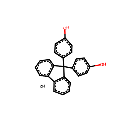 Oc1ccc(C2(c3ccc(O)cc3)c3ccccc3-c3ccccc32)cc1.[KH]